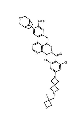 O=C(O)c1cc(F)c(-c2cccc3c2OCN(C(=O)c2c(Cl)cc(N4CC5(CN(CC6(F)COC6)C5)C4)cc2Cl)C3)cc1N1C2CCC1COC2